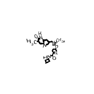 Cc1cc2ncc(CN3C[C@H](Oc4ccc(C(=O)NC5CCC5)nc4)[C@H]3C)cc2[nH]c1=O